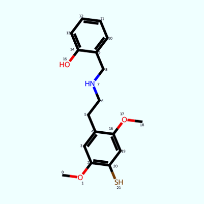 COc1cc(CCNCc2ccccc2O)c(OC)cc1S